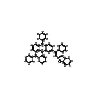 c1ccc(N2c3ccccc3B3c4cc(-c5cc6oc7ccccc7c6c6ccccc56)ccc4N(c4ccccc4)c4cccc2c43)cc1